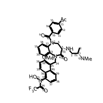 CN[C@@H](C)CN[C@H]1CN(C(=O)c2ccc(C(C)=O)cc2)c2ccccc2N(Cc2c(OC)ccc3c(N(O)C(=O)C(F)(F)F)cccc23)C1=O